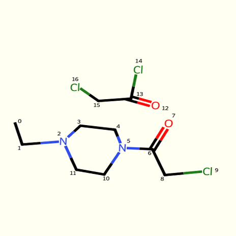 CCN1CCN(C(=O)CCl)CC1.O=C(Cl)CCl